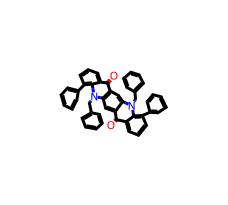 O=c1c2cc3c(cc2n(Cc2ccccc2)c2c(-c4ccccc4)cccc12)c(=O)c1cccc(-c2ccccc2)c1n3Cc1ccccc1